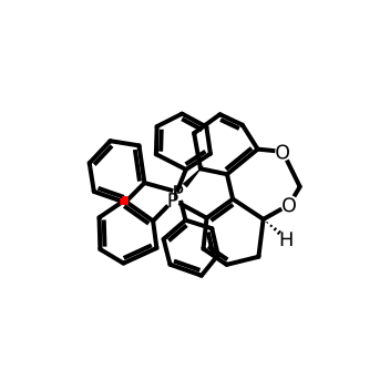 C1=CC(P(c2ccccc2)c2ccccc2)=C2C3=C(C=CC[C@@H]3P(c3ccccc3)c3ccccc3)OCO[C@H]2C1